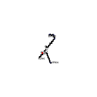 CCCCC/C=C\C/C=C\C/C=C\CCCCCCCCC(=O)OC[C@@H](COC(=O)CCCCCCCCCCCCCC)OC(=O)CCCCCCC/C=C\CCCCCC